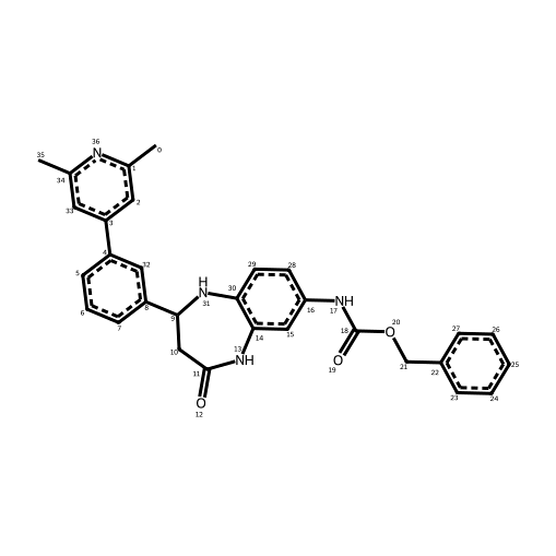 Cc1cc(-c2cccc(C3CC(=O)Nc4cc(NC(=O)OCc5ccccc5)ccc4N3)c2)cc(C)n1